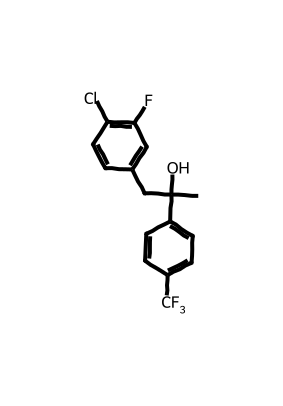 CC(O)(Cc1ccc(Cl)c(F)c1)c1ccc(C(F)(F)F)cc1